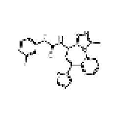 Cc1cccc(NC(=O)NC2N=C(c3cccs3)c3ccccc3-n3c(C)nnc32)c1